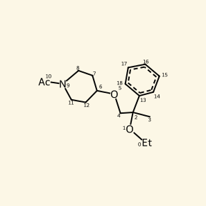 CCOC(C)(COC1CCN(C(C)=O)CC1)c1ccccc1